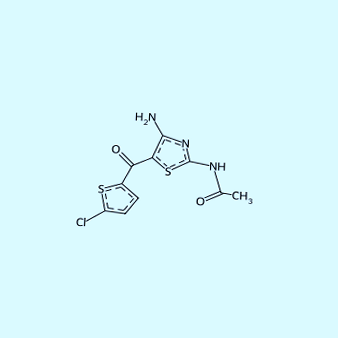 CC(=O)Nc1nc(N)c(C(=O)c2ccc(Cl)s2)s1